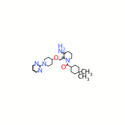 CC1(C)CCC(C(=O)N2CCC[C@H](N)[C@@H]2COC2CCN(c3ncccn3)CC2)CC1